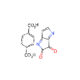 O=C(O)c1ccc(C(=O)O)cc1.O=c1nc2ccnc-2c1=O